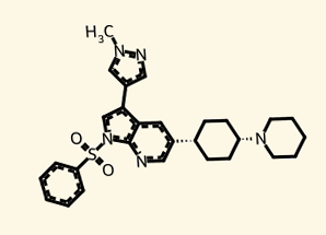 Cn1cc(-c2cn(S(=O)(=O)c3ccccc3)c3ncc([C@H]4CC[C@@H](N5CCCCC5)CC4)cc23)cn1